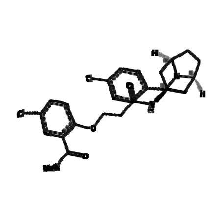 CNC(=O)c1cc(Cl)ccc1OCCC(=O)N[C@H]1C[C@H]2CC[C@@H](C1)N2Cc1ccc(Cl)cc1